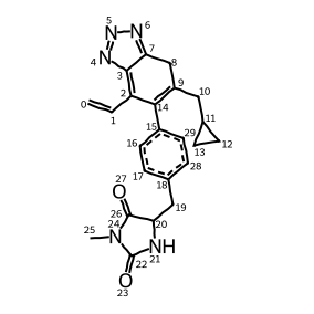 C=CC1=C2N=NN=C2CC(CC2CC2)=C1c1ccc(CC2NC(=O)N(C)C2=O)cc1